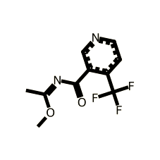 COC(C)=NC(=O)c1cnccc1C(F)(F)F